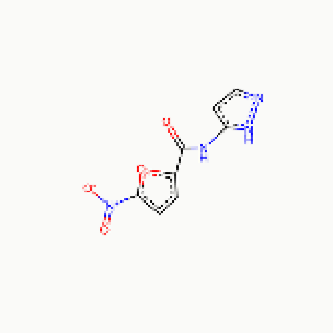 O=C(Nc1ccn[nH]1)c1ccc([N+](=O)[O-])o1